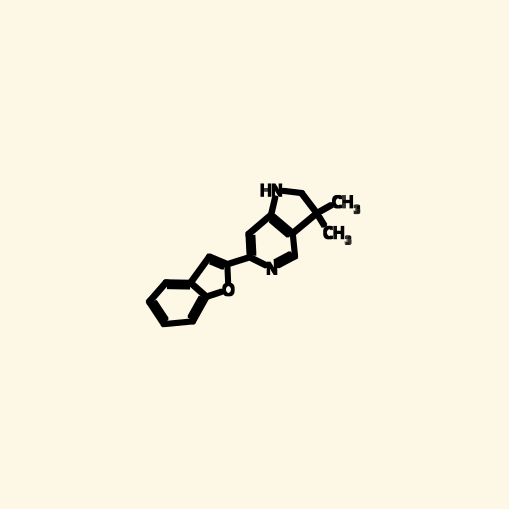 CC1(C)CNc2cc(-c3cc4ccccc4o3)ncc21